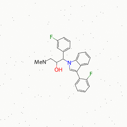 CNCC(O)C(c1cccc(F)c1)n1cc(-c2ccccc2F)c2ccccc21